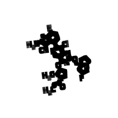 C=CC(=O)N1CC[C@@H](Oc2nc(OC[C@@]34CCCN3C[C@H](F)C4)nc3c(Cl)c(-c4ccc(F)c5sc(N)c(C#N)c45)ncc23)[C@H]1C